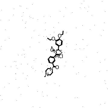 CCOc1ccc(C2SC=C(c3cccc(C(=O)N4CCN(C)CC4)c3)N2OC)cc1OCC.Cl